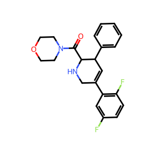 O=C(C1NCC(c2cc(F)ccc2F)=CC1c1ccccc1)N1CCOCC1